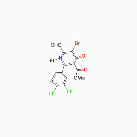 CCn1c(C=O)c(Br)c(=O)c(C(=O)OC)c1-c1ccc(Cl)c(Cl)c1